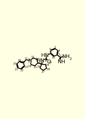 N=C(N)c1cccc(NC(=O)NC2(C3CCN(Cc4ccccc4)CC3)CCCC2)c1